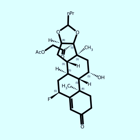 CCCC1O[C@@H]2C[C@H]3[C@@H]4C[C@H](F)C5=CC(=O)CC[C@]5(C)[C@H]4[C@@H](O)C[C@]3(C)[C@]2(C(=O)COC(C)=O)O1